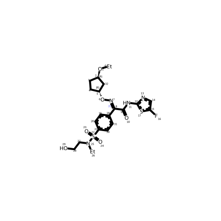 CCO[C@@H]1CC[C@@H](O/N=C(/C(=O)Nc2ncc(F)s2)c2ccc(S(=O)(=O)N(CC)CCO)cc2)C1